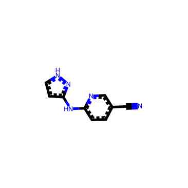 N#Cc1ccc(Nc2cc[nH]n2)nc1